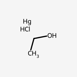 CCO.Cl.[Hg]